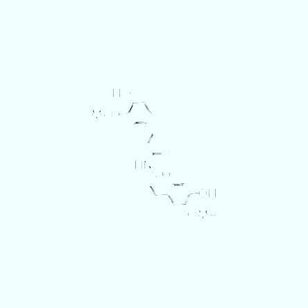 COc1cc(/C=C\[S+]([O-])NC(=O)/C=C/c2ccc(O)c(OC)c2)ccc1O